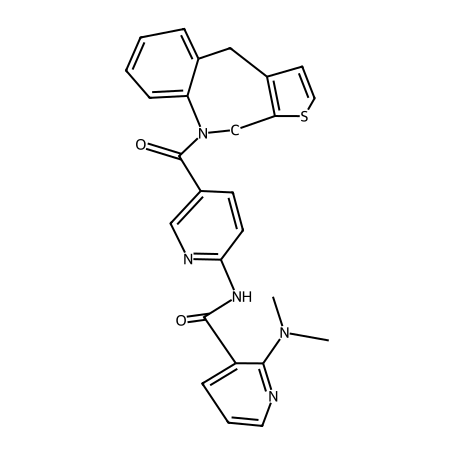 CN(C)c1ncccc1C(=O)Nc1ccc(C(=O)N2Cc3sccc3Cc3ccccc32)cn1